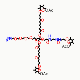 CC(=O)OCC1OC(OCCCCC(=O)CCCCCC(=O)CCOCC(COCCC(=O)CCCCCC(=O)CCCCOC2OC(COC(C)=O)C(C)C(C)C2C)(COCCC(=O)NCCCNC(=O)CCCCOC2OC(COC(C)=O)C(C)C(C)C2C)CC(=O)CCOCCOCCOCCOCCN=[N+]=[N-])C(C)C(C)C1C